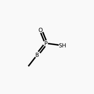 CB=P(=O)S